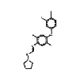 Cc1cc(Oc2ccc(I)c(F)c2)c(C)cc1/N=C/NN1CCCC1